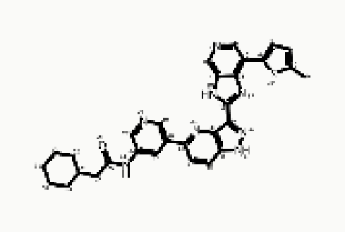 Cc1ccc(-c2cncc3[nH]c(-c4n[nH]c5ccc(-c6cncc(NC(=O)CC7CCCCC7)c6)nc45)nc23)s1